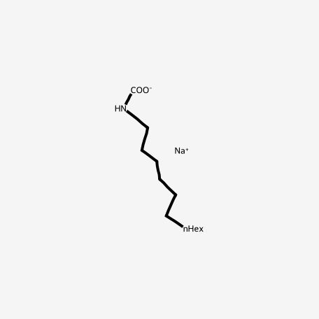 CCCCCCCCCCCCNC(=O)[O-].[Na+]